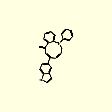 C=C1/C=C(c2ccc3[nH]ccc3c2)\C=C/CN(c2ccccc2)c2ccccc21